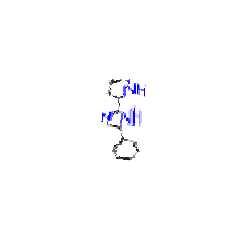 c1ccc(-c2cnc(C3CCCN3)[nH]2)cc1